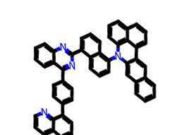 c1ccc2cc3c(cc2c1)-c1cccc2cccc(c12)N3c1cccc2c(-c3nc(-c4ccc(-c5cccc6cccnc56)cc4)c4ccccc4n3)cccc12